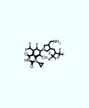 CC1=c2c(c(=O)[nH]c(=O)n2C2CC2)=C(C(F)F)C(F)C1N1CC(CN)C(CC(C(F)(F)F)C(F)(F)F)C1